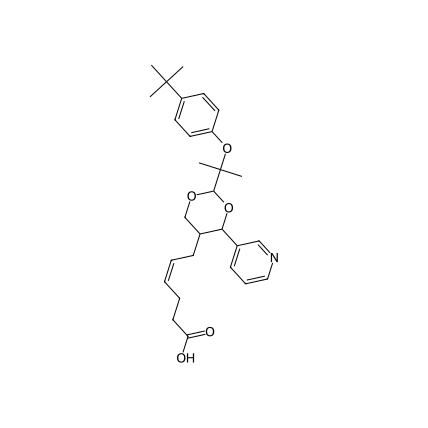 CC(C)(C)c1ccc(OC(C)(C)C2OCC(C/C=C\CCC(=O)O)C(c3cccnc3)O2)cc1